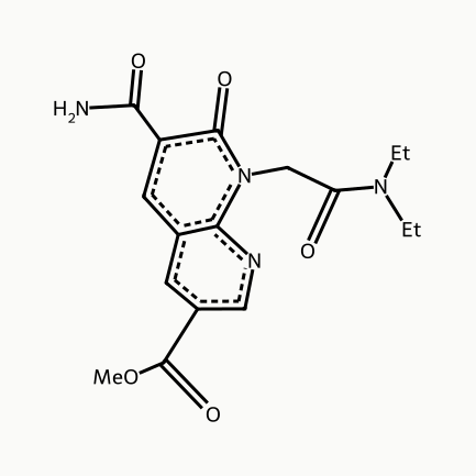 CCN(CC)C(=O)Cn1c(=O)c(C(N)=O)cc2cc(C(=O)OC)cnc21